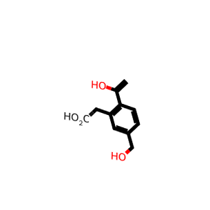 C=C(O)c1ccc(CO)cc1CC(=O)O